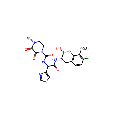 CCN1CCN(C(=O)NC(C(=O)N[C@H]2Cc3ccc(F)c(C(=O)O)c3OB2O)c2cscn2)C(=O)C1=O